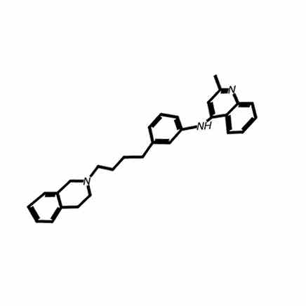 Cc1cc(Nc2cccc(CCCCN3CCc4ccccc4C3)c2)c2ccccc2n1